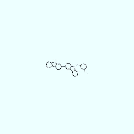 Cn1c2ccccc2c2ccc(-c3ccc4c(c3)c3ccccc3n4Cc3cc(C#N)ccn3)cc21